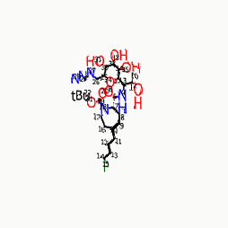 C[C@@H](O)[C@@H](NC(=O)[C@@H]1CC=C(CCCCF)CCN1C(=O)OC(C)(C)C)[C@H]1OC(CN=[N+]=[N-])[C@H](O)C(O)C1O